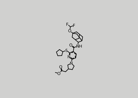 COC(=O)CC1CCN(c2ccc(C(=O)NC3C4CC5CC3CC(OC(F)F)(C5)C4)c(SC3CCCC3)n2)C1